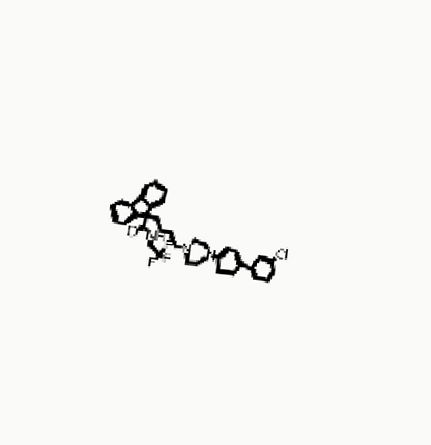 O=C(NCC(F)(F)F)C1(CCCCN2CCN(c3ccc(-c4cccc(Cl)c4)cc3)CC2)c2ccccc2-c2ccccc21